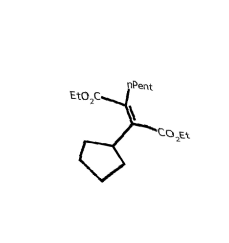 CCCCCC(C(=O)OCC)=C(C(=O)OCC)C1CCCC1